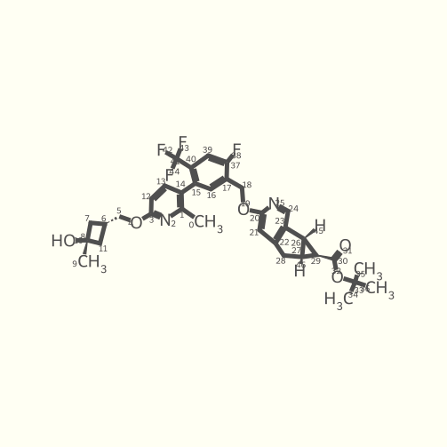 Cc1nc(OC[C@H]2C[C@@](C)(O)C2)ccc1-c1cc(COc2cc3c(cn2)[C@H]2[C@@H](C3)[C@@H]2C(=O)OC(C)(C)C)c(F)cc1C(F)(F)F